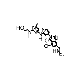 CCNCc1cc(Cl)c(C(=O)Nc2ccnc(Nc3cc(C)nc(NCCO)n3)c2)c(Cl)c1